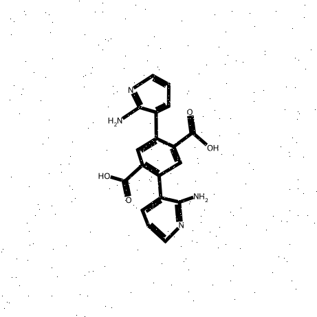 Nc1ncccc1-c1cc(C(=O)O)c(-c2cccnc2N)cc1C(=O)O